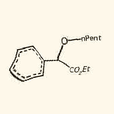 CCCCCOC(C(=O)OCC)c1ccccc1